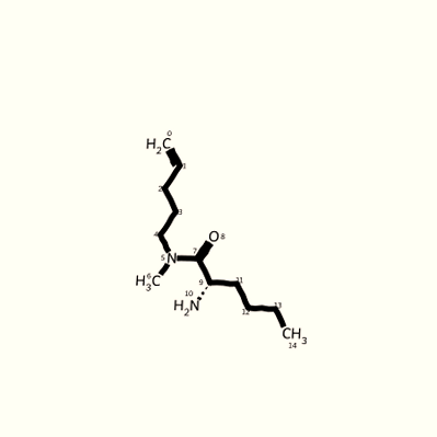 C=CCCCN(C)C(=O)[C@@H](N)CCCC